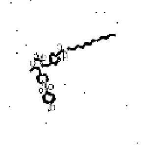 CCCCCCCCCCCCNC(=O)c1ccc(CN(C(=O)C(=O)O)C(CC)C2CCN(S(=O)(=O)c3ccc(OC)cc3)CC2)cc1